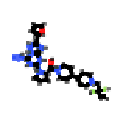 CC(F)(F)CN1CCC(C2CCN(C(=O)[C@@H]3CCCN3c3nc(N)n4nc(-c5ccco5)nc4n3)CC2)CC1